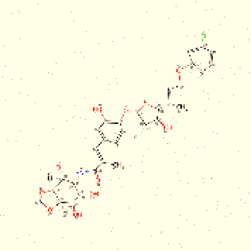 CC(=Cc1ccc(O[C@@H]2O[C@H](C(C)=CCOc3cccc(Cl)c3)[C@@H](O)[C@@H]2F)c(O)c1)C(=O)N[C@@H]1[C@H](O)[C@@H](O)[C@H]2OCO[C@H]2[C@@H]1O